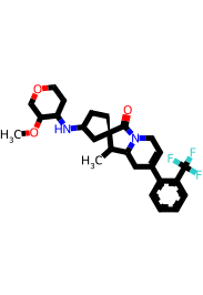 COC1COCCC1NC1CC[C@@]2(C1)C(=O)N1CC=C(c3ccccc3C(F)(F)F)CC1C2C